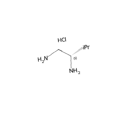 CC(C)[C@H](N)CN.Cl